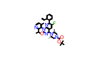 C=Cc1ccccc1-c1nc2c(cc1F)c(N1[C@@H](C)CN(C(=O)OC(C)(C)C)C[C@@H]1C)nc(=O)n2-c1c(C)ccnc1C(C)C